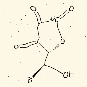 CC[C@H](O)[C@H]1O[13C](=O)C(=O)C1=O